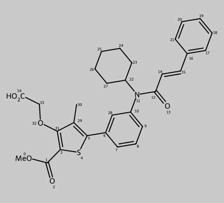 COC(=O)c1sc(-c2cccc(N(C(=O)C=Cc3ccccc3)C3CCCCC3)c2)c(C)c1OCC(=O)O